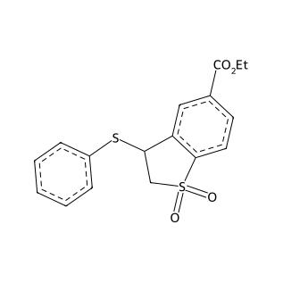 CCOC(=O)c1ccc2c(c1)C(Sc1ccccc1)CS2(=O)=O